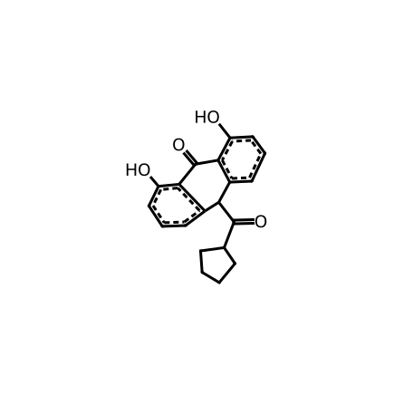 O=C1c2c(O)cccc2C(C(=O)C2CCCC2)c2cccc(O)c21